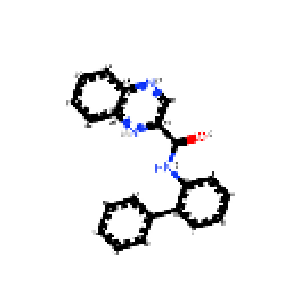 O=C(Nc1ccccc1-c1[c]cccc1)c1cnc2ccccc2n1